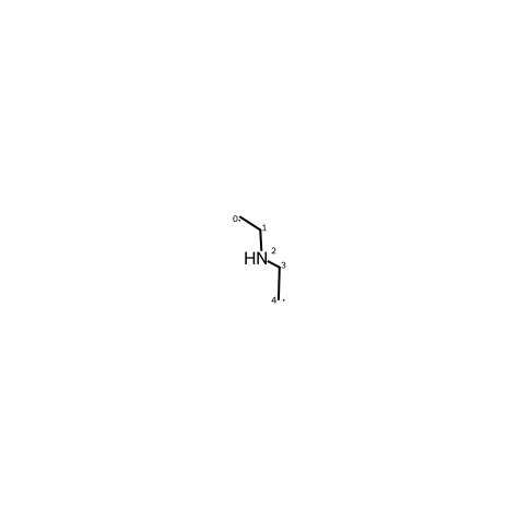 [CH2]CNC[CH2]